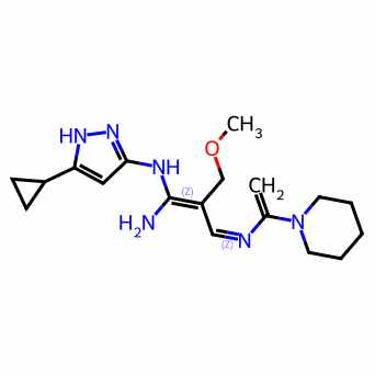 C=C(/N=C\C(COC)=C(/N)Nc1cc(C2CC2)[nH]n1)N1CCCCC1